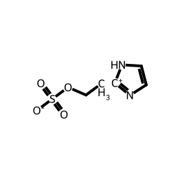 CCOS(=O)(=O)[O-].[C+]1=NC=CN1